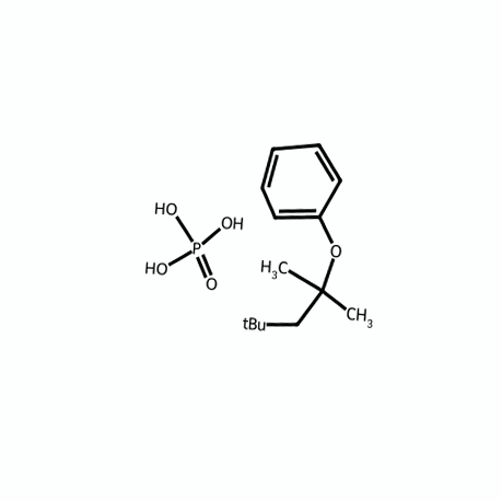 CC(C)(C)CC(C)(C)Oc1ccccc1.O=P(O)(O)O